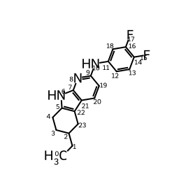 CCC1CCc2[nH]c3nc(Nc4ccc(F)c(F)c4)ccc3c2C1